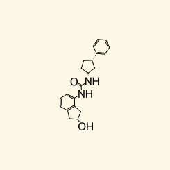 O=C(Nc1cccc2c1C[C@@H](O)C2)N[C@@H]1CC[C@H](c2ccccc2)C1